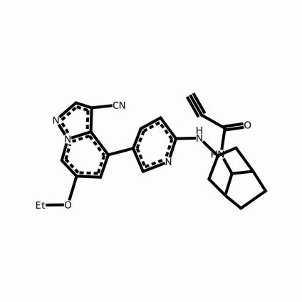 C#CC(=O)NC1C2CCC1CC(Nc1ccc(-c3cc(OCC)cn4ncc(C#N)c34)cn1)C2